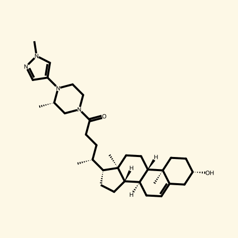 C[C@H](CCC(=O)N1CCN(c2cnn(C)c2)[C@@H](C)C1)[C@H]1CC[C@H]2[C@@H]3CC=C4C[C@@H](O)CC[C@]4(C)[C@H]3CC[C@]12C